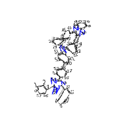 c1ccc(-c2nc(-c3ccccc3)nc(-c3ccc(-c4ccc(N(c5ccccc5)c5cccc(-c6nc7ccccn7c6-c6ccccc6)c5)cc4)cc3)n2)cc1